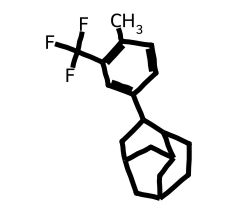 Cc1ccc(C2CC3CC4CCC2C(C4)C3)cc1C(F)(F)F